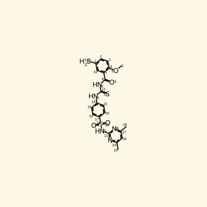 Bc1ccc(OC)c(C(=O)NC(=S)Nc2ccc(S(=O)(=O)Nc3nc(C)cc(C)n3)cc2)c1